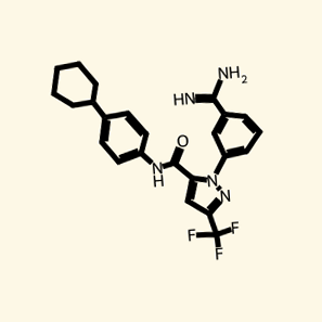 N=C(N)c1cccc(-n2nc(C(F)(F)F)cc2C(=O)Nc2ccc(C3CCCCC3)cc2)c1